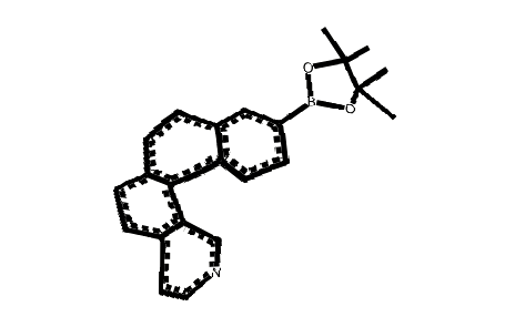 CC1(C)OB(c2ccc3c(ccc4ccc5ccncc5c43)c2)OC1(C)C